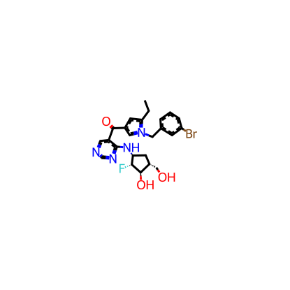 CCc1cc(C(=O)c2cncnc2N[C@@H]2C[C@H](CO)[C@@H](O)[C@@H]2F)cn1Cc1cccc(Br)c1